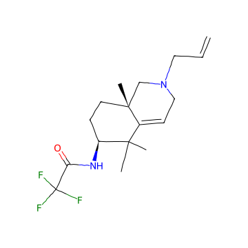 C=CCN1CC=C2C(C)(C)[C@@H](NC(=O)C(F)(F)F)CC[C@]2(C)C1